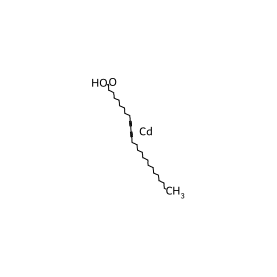 CCCCCCCCCCCCCCC#CC#CCCCCCCCCC(=O)O.[Cd]